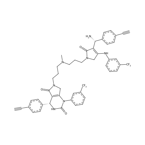 C#Cc1ccc([C@@H](N)C2=C(Nc3cccc(C(F)(F)F)c3)CN(CCCN(C)CCCN3CC4=C(C3=O)[C@@H](c3ccc(C#C)cc3)NC(=O)N4c3cccc(C(F)(F)F)c3)C2=O)cc1